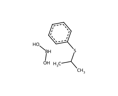 CC(C)Sc1ccccc1.OBO